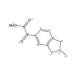 COC(=O)C(=O)c1ccc2c(c1)CC(C)C2